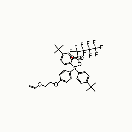 C=COCCOc1ccc(S(OS(=O)(=O)C(F)(F)C(F)(F)C(F)(F)C(F)(F)F)(c2ccc(C(C)(C)C)cc2)c2ccc(C(C)(C)C)cc2)cc1